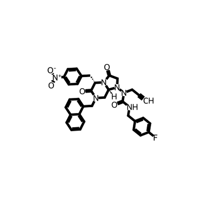 C#CCN(C(=O)NCc1ccc(F)cc1)N1CC(=O)N2[C@@H](Cc3ccc([N+](=O)[O-])cc3)C(=O)N(Cc3cccc4ccccc34)C[C@@H]21